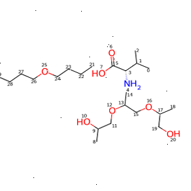 CC(C)[C@H](N)C(=O)O.CC(O)COC(C)COC(C)CO.CCCCOCCCC